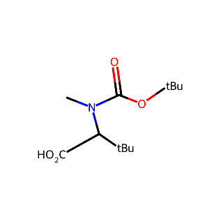 CN(C(=O)OC(C)(C)C)C(C(=O)O)C(C)(C)C